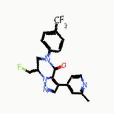 Cc1cc(-c2cnn3c2C(=O)N(c2ccc(C(F)(F)F)cc2)CC3CF)ccn1